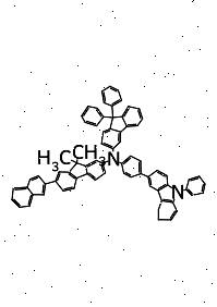 CC1(C)c2cc(-c3ccc4ccccc4c3)ccc2-c2ccc(N(c3ccc(-c4ccc5c(c4)c4c(n5-c5ccccc5)C=CCC4)cc3)c3ccc4c(c3)-c3ccccc3C4(c3ccccc3)c3ccccc3)cc21